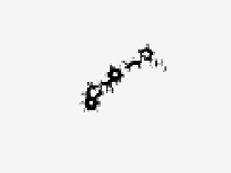 C[C@@H]1CCCN1CCCOc1ccc(C(=O)CN2CCc3ccccc3C2)cc1